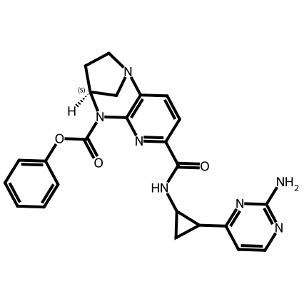 Nc1nccc(C2CC2NC(=O)c2ccc3c(n2)N(C(=O)Oc2ccccc2)[C@H]2CCN3C2)n1